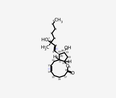 CCCCC[C@@](C)(O)/C=C/[C@@H]1[C@H]2C/C=C\CCCC(=O)O[C@H]2C[C@H]1O